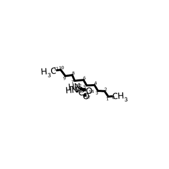 CCCCCCCCCCCC.N=C=O.N=C=O